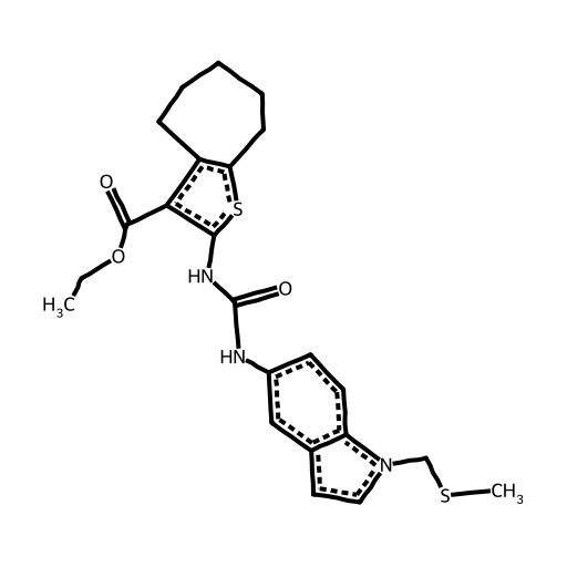 CCOC(=O)c1c(NC(=O)Nc2ccc3c(ccn3CSC)c2)sc2c1CCCCC2